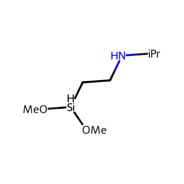 CO[SiH](CCNC(C)C)OC